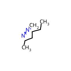 C=[N+]=[N-].CCCCCC